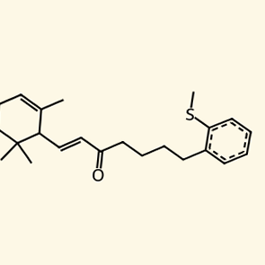 CSc1ccccc1CCCCC(=O)/C=C/C1C(C)=CCCC1(C)C